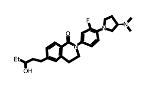 CCC(O)CCc1ccc2c(c1)CCN(c1ccc(N3CC[C@@H](N(C)C)C3)c(F)c1)C2=O